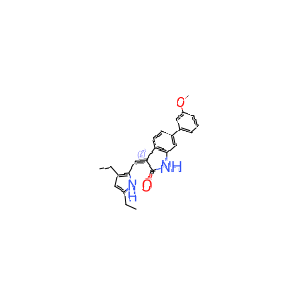 CCc1cc(CC)c(/C=C2\C(=O)Nc3cc(-c4cccc(OC)c4)ccc32)[nH]1